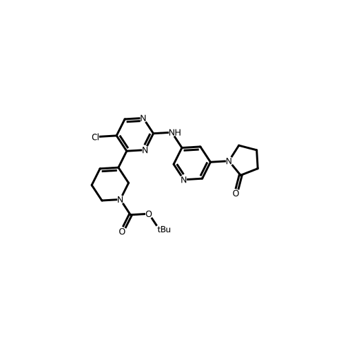 CC(C)(C)OC(=O)N1CCC=C(c2nc(Nc3cncc(N4CCCC4=O)c3)ncc2Cl)C1